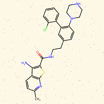 Cc1ccc2c(N)c(C(=O)NCCc3ccc(N4CCNCC4)c(-c4ccccc4Cl)c3)sc2n1